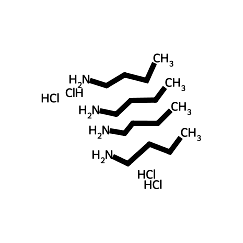 CCCCN.CCCCN.CCCCN.CCCCN.Cl.Cl.Cl.Cl